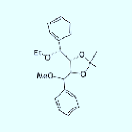 CCO[C@H](c1ccccc1)[C@@H]1OC(C)(C)OC1C(OC)c1ccccc1